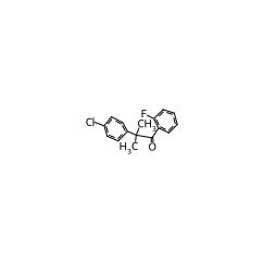 CC(C)(C(=O)c1ccccc1F)c1ccc(Cl)cc1